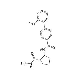 COc1ccccc1-c1ccc(C(=O)N[C@@H]2CCC[C@@H]2C(=O)NO)cn1